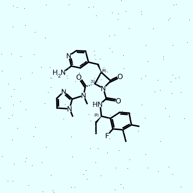 CC[C@@H](NC(=O)N1C(=O)[C@H](Cc2ccnc(N)c2)[C@H]1C(=O)N(C)c1nccn1C)c1ccc(C)c(C)c1F